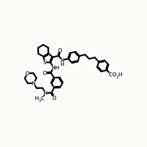 CN(CCN1CCOCC1)C(=O)c1cccc(C(=O)Nc2sc3c(c2C(=O)Nc2ccc(CCCc4ccc(C(=O)O)cc4)cc2)CCCC3)c1